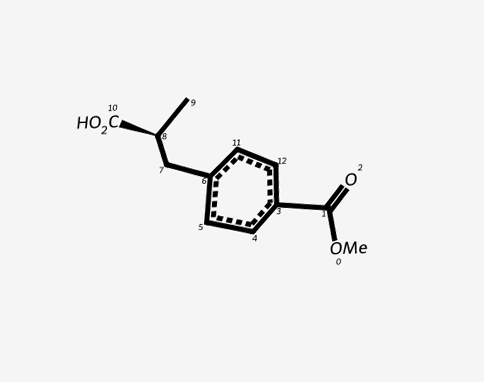 COC(=O)c1ccc(C[C@H](C)C(=O)O)cc1